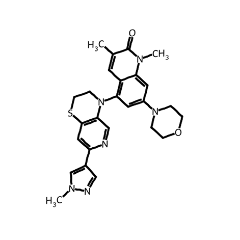 Cc1cc2c(N3CCSc4cc(-c5cnn(C)c5)ncc43)cc(N3CCOCC3)cc2n(C)c1=O